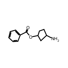 NC1CCC(OC(=O)c2ccccc2)C1